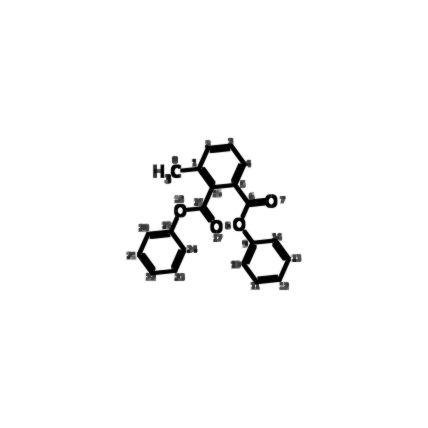 Cc1cccc(C(=O)Oc2ccccc2)c1C(=O)Oc1ccccc1